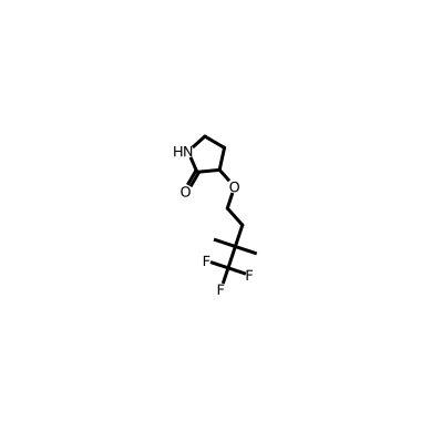 CC(C)(CCOC1CCNC1=O)C(F)(F)F